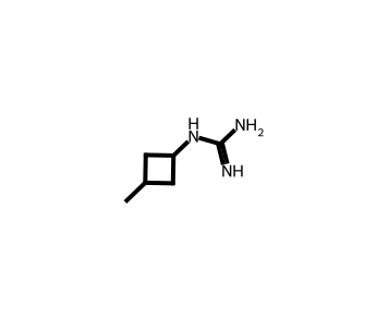 CC1CC(NC(=N)N)C1